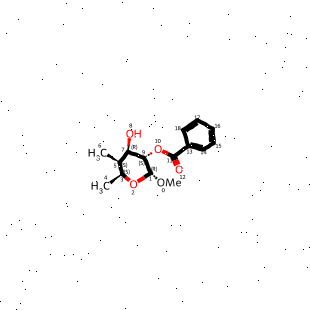 CO[C@@H]1O[C@@H](C)[C@@H](C)[C@@H](O)[C@@H]1OC(=O)c1ccccc1